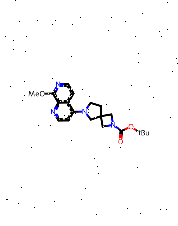 COc1nccc2c(N3CCC4(CN(C(=O)OC(C)(C)C)C4)C3)ccnc12